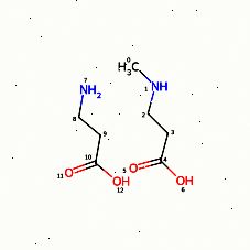 CNCCC(=O)O.NCCC(=O)O